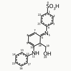 O=S(=O)(O)c1ccc(N=C2[C]=CC=C(Nc3cc[c]cc3)C2CO)cc1